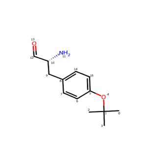 CC(C)(C)Oc1ccc(C[C@@H](N)[C]=O)cc1